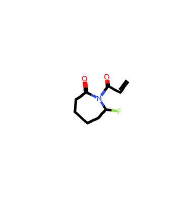 C=CC(=O)N1C(=O)CCCCC1F